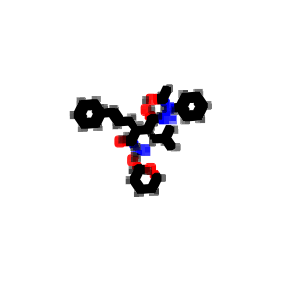 CC(=O)N(NC(=O)[C@H](CC(C)C)[C@H](CC=Cc1ccccc1)C(=O)NOC1CCCCO1)c1ccccc1